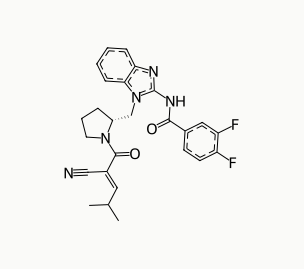 CC(C)C=C(C#N)C(=O)N1CCC[C@@H]1Cn1c(NC(=O)c2ccc(F)c(F)c2)nc2ccccc21